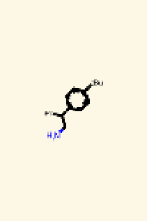 CC(C)C(CN)c1ccc(C(C)(C)C)cc1